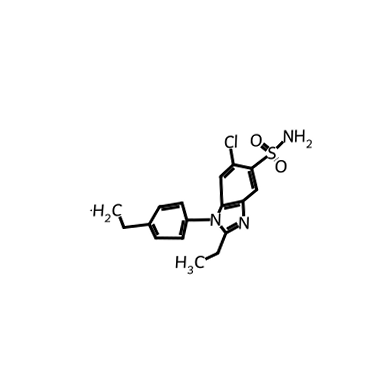 [CH2]Cc1ccc(-n2c(CC)nc3cc(S(N)(=O)=O)c(Cl)cc32)cc1